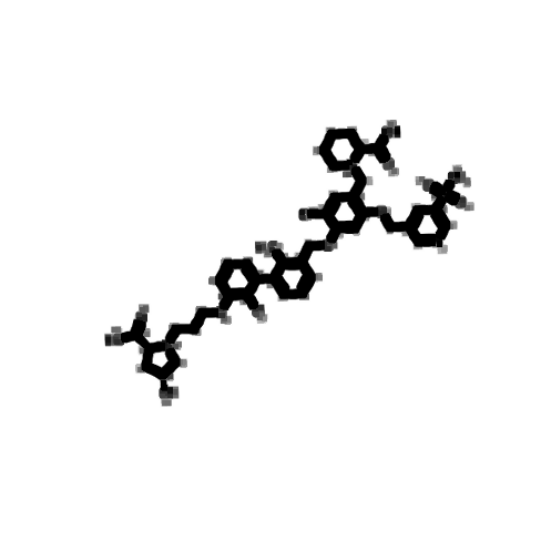 Cc1c(COc2cc(OCc3cncc(S(C)(=O)=O)c3)c(CN3CCCCC3C(=O)O)cc2Cl)cccc1-c1cccc(OCCCN2C[C@H](O)C[C@H]2C(=O)O)c1Cl